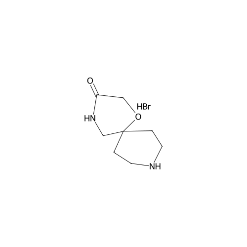 Br.O=C1COC2(CCNCC2)CN1